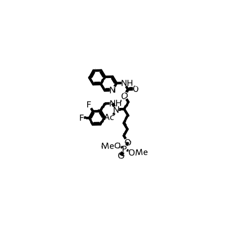 COP(=O)(OC)OCCCCC(COC(=O)Nc1cc2ccccc2cn1)N(NCc1cccc(F)c1F)C(C)=O